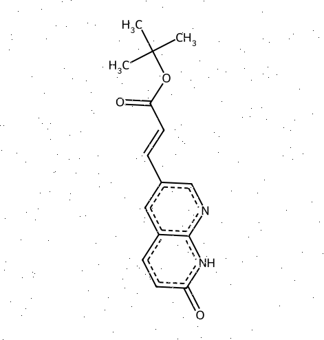 CC(C)(C)OC(=O)C=Cc1cnc2[nH]c(=O)ccc2c1